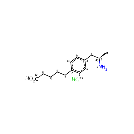 C[C@@H](N)Cc1ccc(CCCCC(=O)O)cc1.Cl